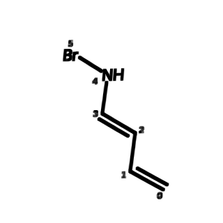 C=CC=CNBr